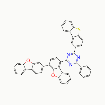 c1ccc(-c2nc(-c3ccc4sc5ccccc5c4c3)nc(-c3ccc(-c4ccc5c(c4)oc4ccccc45)c4oc5ccccc5c34)n2)cc1